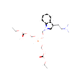 CCOC(=O)OCOP(=O)(OCOC(=O)OCC)OCn1cc(CCN(C)C)c2ccccc21